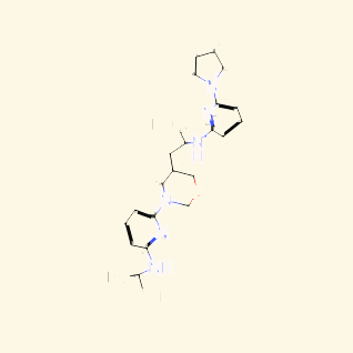 CC(C)Nc1cccc(N2COCC(CC(C)Nc3cccc(N4CCCC4)n3)C2)n1